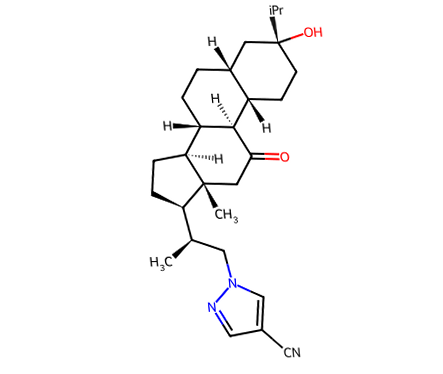 CC(C)[C@@]1(O)CC[C@H]2[C@H](CC[C@@H]3[C@@H]2C(=O)C[C@]2(C)[C@@H]([C@H](C)Cn4cc(C#N)cn4)CC[C@@H]32)C1